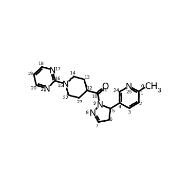 Cc1ccc(C2CC=NN2C(=O)C2CCN(c3ncccn3)CC2)cn1